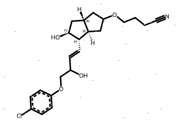 N#CCCCOC1C[C@H]2C[C@H](O)[C@@H](C=CC(O)COc3ccc(Cl)cc3)[C@@H]2C1